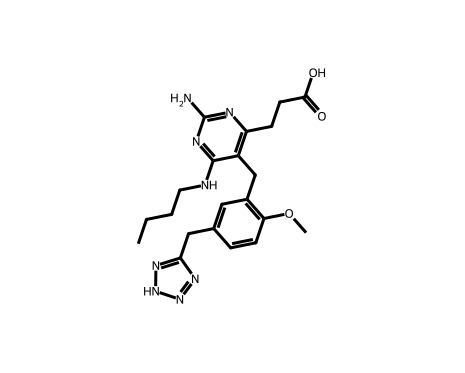 CCCCNc1nc(N)nc(CCC(=O)O)c1Cc1cc(Cc2nn[nH]n2)ccc1OC